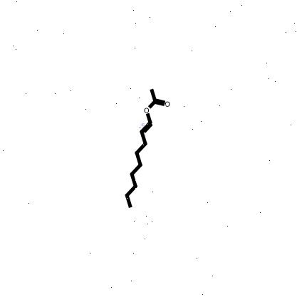 CCCCCCC/C=C/OC(C)=O